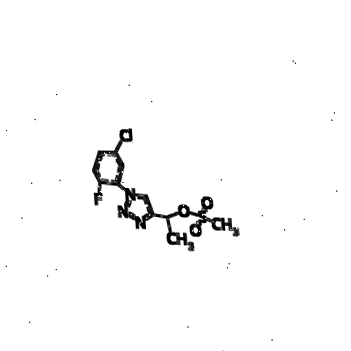 CC(OS(C)(=O)=O)c1cn(-c2cc(Cl)ccc2F)nn1